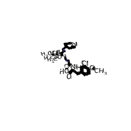 COc1ccc(CC(NC(=O)/C=C/C[C@H](O[Si](C)(C)C(C)(C)C)[C@H](C)/C=C/c2ccncc2)C(=O)O)cc1Cl